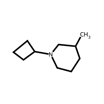 CC1CCCN(C2CCC2)C1